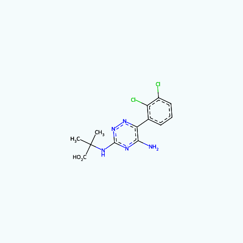 CC(C)(Nc1nnc(-c2cccc(Cl)c2Cl)c(N)n1)C(=O)O